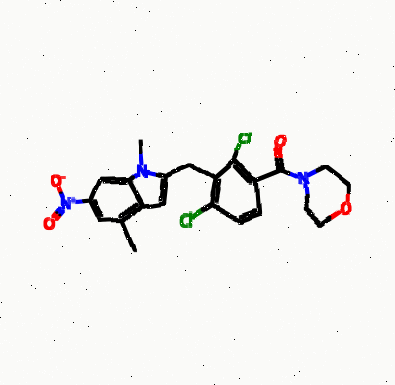 Cc1cc([N+](=O)[O-])cc2c1cc(Cc1c(Cl)ccc(C(=O)N3CCOCC3)c1Cl)n2C